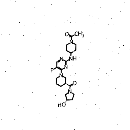 CC(=O)N1CCC(Nc2ncc(F)c(N3CCC[C@H](C(=O)N4CC[C@H](O)C4)C3)n2)CC1